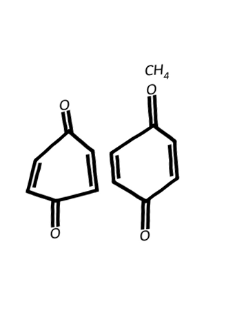 C.O=C1C=CC(=O)C=C1.O=C1C=CC(=O)C=C1